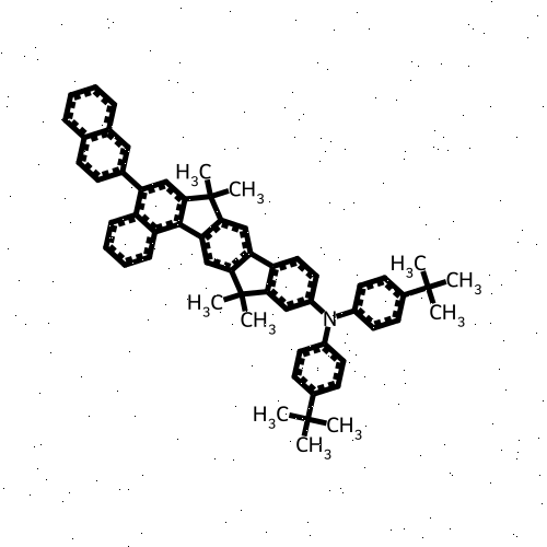 CC(C)(C)c1ccc(N(c2ccc(C(C)(C)C)cc2)c2ccc3c(c2)C(C)(C)c2cc4c(cc2-3)C(C)(C)c2cc(-c3ccc5ccccc5c3)c3ccccc3c2-4)cc1